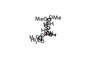 COc1ccc(CNc2nccc3c(NCC45CC(COc6cc(C)n(C)c(=O)c6)(CN4c4ccc(C6CC6)nn4)C5)cccc23)c(OC)c1